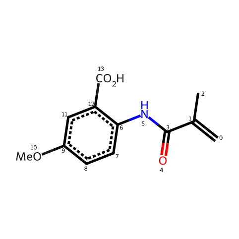 C=C(C)C(=O)Nc1ccc(OC)cc1C(=O)O